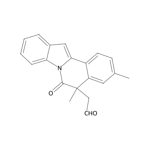 Cc1ccc2c(c1)C(C)(CC=O)C(=O)n1c-2cc2ccccc21